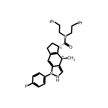 CC(C)CCN(CCC(C)C)C(=O)[C@H]1CCC2=C1[C@@H](C)C1=CNN(c3ccc(F)cc3)C1=C2